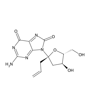 C=CC[C@]1(N2C(=O)N=C3C(=O)N=C(N)N=C32)C[C@H](O)[C@@H](CO)O1